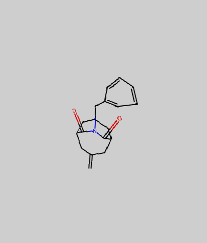 C=C1CC2CCCC(C1)C(=O)N(Cc1ccccc1)C2=O